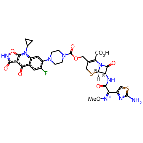 CO/N=C(\C(=O)N[C@@H]1C(=O)N2C(C(=O)O)=C(COC(=O)N3CCN(c4cc5c(cc4F)c(=O)c4c(=O)[nH]oc4n5C4CC4)CC3)CS[C@H]12)c1csc(N)n1